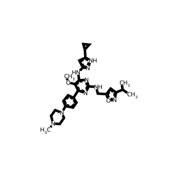 COc1c(Nc2cc(C3CC3)[nH]n2)nc(NCc2cc(C(C)C)no2)nc1-c1ccc(N2CCN(C)CC2)cc1